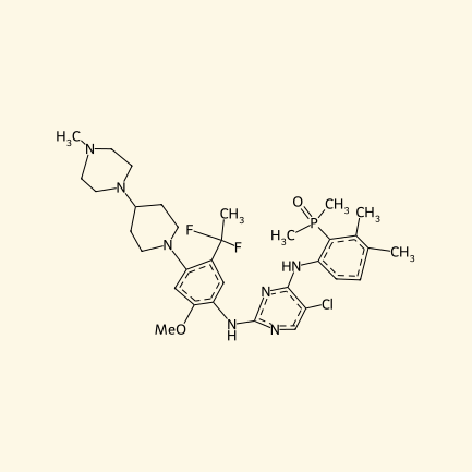 COc1cc(N2CCC(N3CCN(C)CC3)CC2)c(C(C)(F)F)cc1Nc1ncc(Cl)c(Nc2ccc(C)c(C)c2P(C)(C)=O)n1